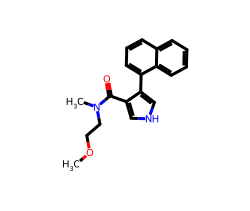 COCCN(C)C(=O)c1c[nH]cc1-c1cccc2ccccc12